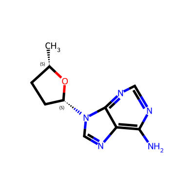 C[C@H]1CC[C@@H](n2cnc3c(N)ncnc32)O1